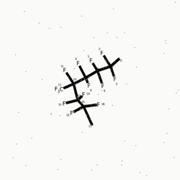 CC(F)(F)C(F)(F)C(F)(F)C(F)(C(F)(F)F)C(F)(F)C(C)(F)F